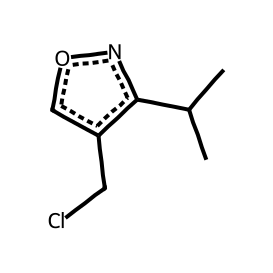 CC(C)c1nocc1CCl